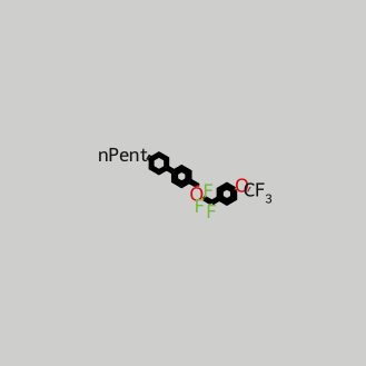 CCCCCC1CCC(c2ccc(COC(F)(F)C(F)c3ccc(OC(F)(F)F)cc3)cc2)CC1